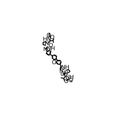 COC(=O)NC(C(=O)N1CCC[C@H]1c1ncc(-c2ccc3c(c2)oc2cc(-c4ccc5nc([C@@H]6CCCN6C(=O)[C@@H](NC(=O)OC)C(C)C)[nH]c5c4)ccc23)[nH]1)C(C)C